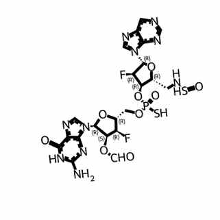 Nc1nc2c(ncn2[C@@H]2O[C@H](COP(=O)(S)O[C@H]3[C@@H](F)[C@H](n4cnc5cncnc54)O[C@@H]3CN[SH]=O)[C@@H](F)[C@H]2OC=O)c(=O)[nH]1